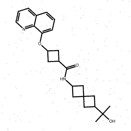 CC(C)(O)C1CC2(CC(NC(=O)C3CC(Oc4cccc5cccnc45)C3)C2)C1